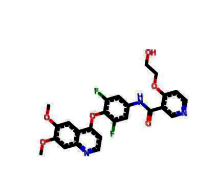 COc1cc2nccc(Oc3c(F)cc(NC(=O)c4cnccc4OCCO)cc3F)c2cc1OC